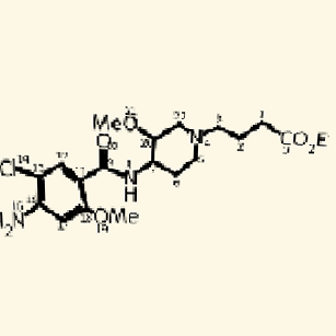 CCOC(=O)CCCN1CCC(NC(=O)c2cc(Cl)c(N)cc2OC)C(OC)C1